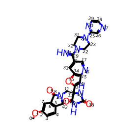 COc1ccc2c(c1)C(=O)N(C[C@@]1(c3cc4ncc(C(=N)N5CCN(c6cnccn6)CC5)cc4o3)NC(=O)NC1=O)C2